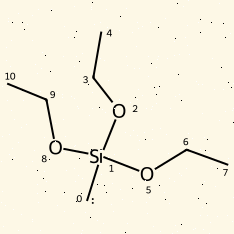 [CH][Si](OCC)(OCC)OCC